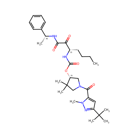 CCCC[C@H](NC(=O)O[C@@H]1CN(C(=O)c2cc(C(C)(C)C)nn2C)CC1(C)C)C(=O)C(=O)N[C@H](C)c1ccccc1